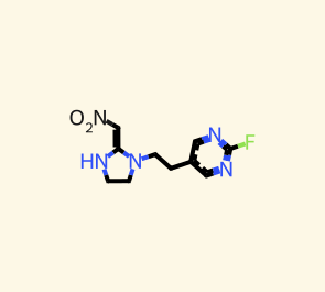 O=[N+]([O-])C=C1NCCN1CCc1cnc(F)nc1